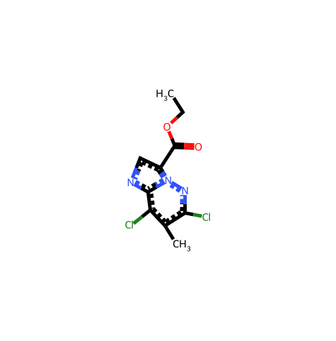 CCOC(=O)c1cnc2c(Cl)c(C)c(Cl)nn12